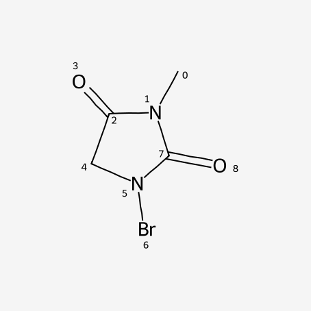 CN1C(=O)CN(Br)C1=O